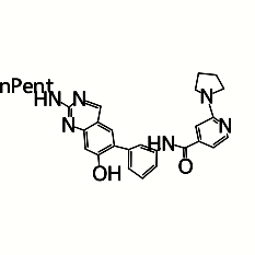 CCCCCNc1ncc2cc(-c3cccc(NC(=O)c4ccnc(N5CCCC5)c4)c3)c(O)cc2n1